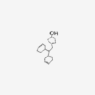 OC1CCC(CC(C2CC=CCC2)C2CC=CCC2)CC1